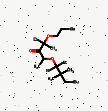 CCC(C)(OCCC(C)(C)C)C(=O)C(C)OC(CC)(CC)C(C)(C)CC(C)(C)C